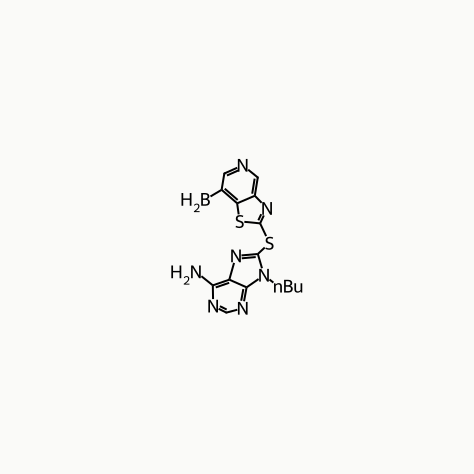 Bc1cncc2nc(Sc3nc4c(N)ncnc4n3CCCC)sc12